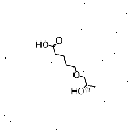 C[C@@H](O)COCCCCC(=O)O